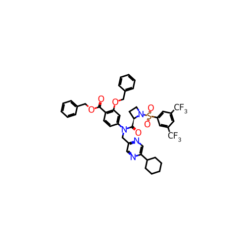 O=C(OCc1ccccc1)c1ccc(N(Cc2cnc(C3CCCCC3)cn2)C(=O)[C@H]2CCN2S(=O)(=O)c2cc(C(F)(F)F)cc(C(F)(F)F)c2)cc1OCc1ccccc1